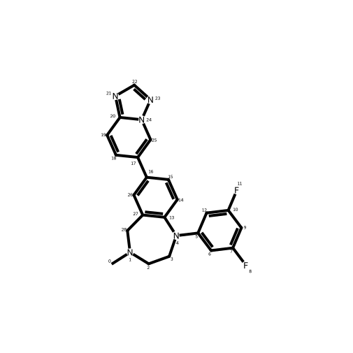 CN1CCN(c2cc(F)cc(F)c2)c2ccc(-c3ccc4ncnn4c3)cc2C1